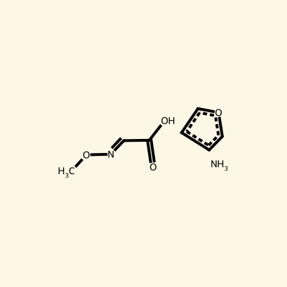 CON=CC(=O)O.N.c1ccoc1